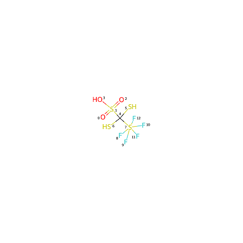 O=S(=O)(O)C(S)(S)S(F)(F)(F)(F)F